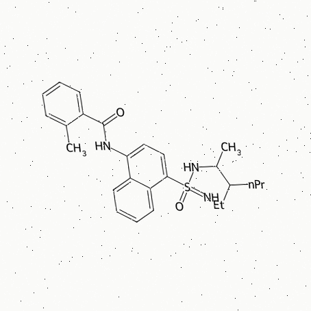 CCCC(CC)C(C)NS(=N)(=O)c1ccc(NC(=O)c2ccccc2C)c2ccccc12